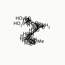 COc1cccc2c1C(=O)c1c(O)c3c(c(O)c1C2=O)C[C@@](O)(C(=O)CO)C[C@@H]3OC1CC(NC(=O)OCc2ccc(NC(=O)[C@H](CCCNC(N)=O)NC(=O)[C@@H](NC(=O)CCCCSC[C@H](NC(=O)[C@H](N)CCC(=O)O)C(=O)NCC(=O)O)C(C)C)cc2)C(O)C(C)O1